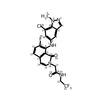 Cn1ncc2cc(Nc3c(F)ccc4ccn(CC(=O)NCC(F)(F)F)c(=O)c34)cc(Cl)c21